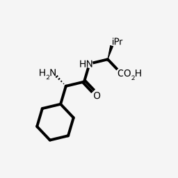 CC(C)[C@H](NC(=O)[C@@H](N)C1CCCCC1)C(=O)O